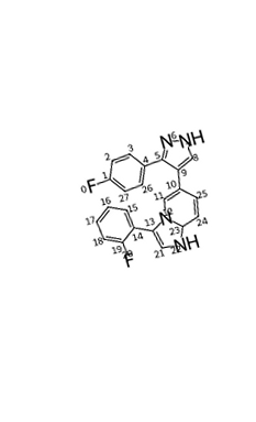 Fc1ccc(-c2n[nH]cc2C2=CN3C(c4ccccc4F)=CNC3C=C2)cc1